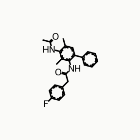 CC(=O)Nc1c(C)cc(-c2ccccc2)c(NC(=O)Cc2ccc(F)cc2)c1C